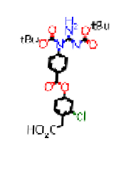 CC(C)(C)OC(=O)N=C(N)N(C(=O)OC(C)(C)C)c1ccc(C(=O)Oc2ccc(CC(=O)O)c(Cl)c2)cc1